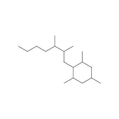 CCCCC(C)C(C)CC1C(C)CC(C)CC1C